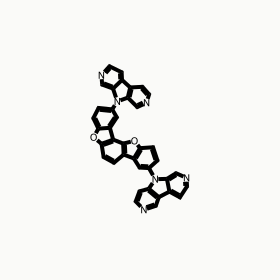 c1cc2c(cn1)c1ccncc1n2-c1ccc2oc3c(ccc4oc5ccc(-n6c7cnccc7c7ccncc76)cc5c43)c2c1